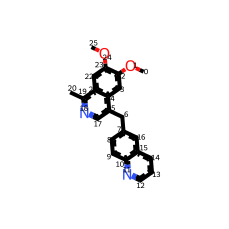 COc1cc2c(Cc3ccc4ncccc4c3)cnc(C)c2cc1OC